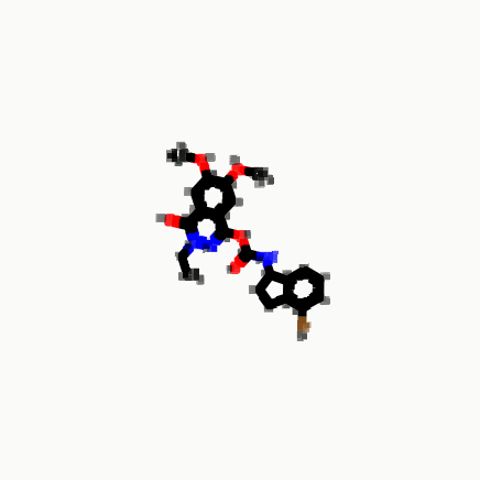 CCn1nc(OC(=O)NC2CCc3c(Br)cccc32)c2cc(OC)c(OC)cc2c1=O